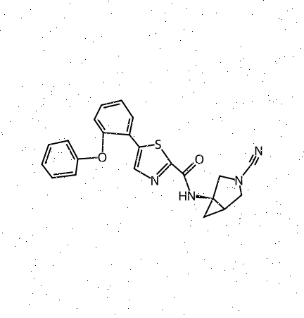 N#CN1CC2C[C@]2(NC(=O)c2ncc(-c3ccccc3Oc3ccccc3)s2)C1